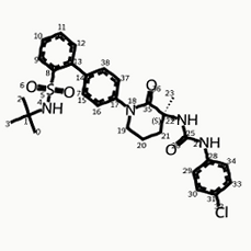 CC(C)(C)NS(=O)(=O)c1ccccc1-c1ccc(N2CCC[C@](C)(NC(=O)Nc3ccc(Cl)cc3)C2=O)cc1